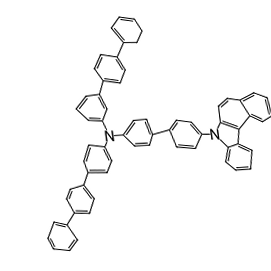 C1=CCCC(c2ccc(-c3cccc(N(c4ccc(-c5ccc(-c6ccccc6)cc5)cc4)c4ccc(-c5ccc(-n6c7ccccc7c7c8ccccc8ccc76)cc5)cc4)c3)cc2)=C1